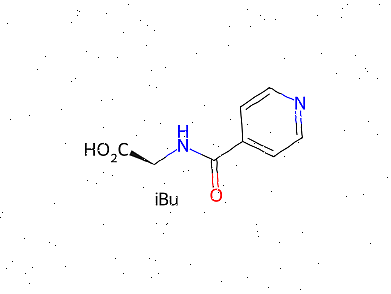 CC[C@H](C)[C@H](NC(=O)c1ccncc1)C(=O)O